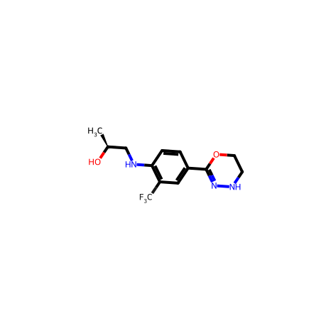 C[C@H](O)CNc1ccc(C2=NNCCO2)cc1C(F)(F)F